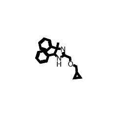 CC1(c2ccccc2)N=C(COCC2CC2)NC1c1ccccc1